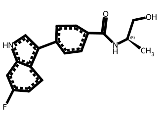 C[C@H](CO)NC(=O)c1ccc(-c2c[nH]c3cc(F)ccc23)cc1